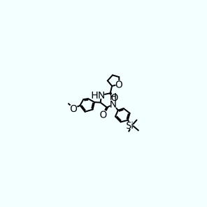 COc1ccc(C(NC(=O)C2CCCO2)C(=O)Nc2ccc([Si](C)(C)C)cc2)cc1